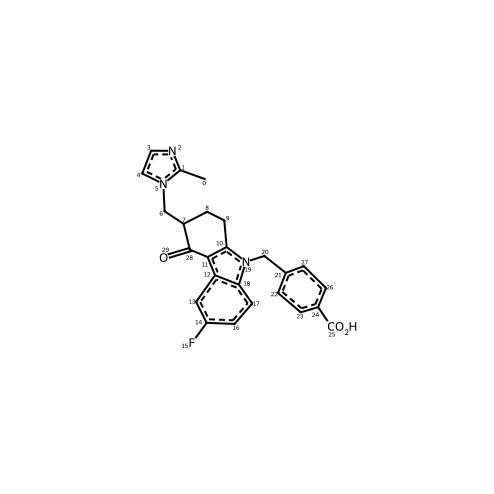 Cc1nccn1CC1CCc2c(c3cc(F)ccc3n2Cc2ccc(C(=O)O)cc2)C1=O